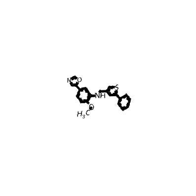 COc1ccc(-c2cnco2)cc1NCc1csc(-c2ccccc2)c1